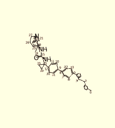 COCCOc1ccc(-c2ccc(C3(NC(=O)NC4(C)CCN5CCC4CC5)CC3)cc2)cc1